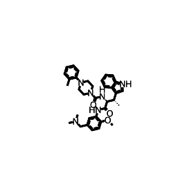 COc1ccc(CN(C)C)cc1NC(=O)[C@H](NC(=O)N1CCN(c2ccccc2C)CC1)[C@@H](C)c1c[nH]c2ccccc12